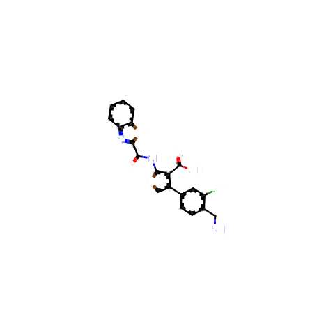 NCc1ccc(-c2csc(NC(=O)c3nc4ccccc4s3)c2C(=O)O)cc1F